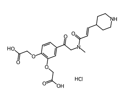 CN(CC(=O)c1ccc(OCC(=O)O)c(OCC(=O)O)c1)C(=O)C=CC1CCNCC1.Cl